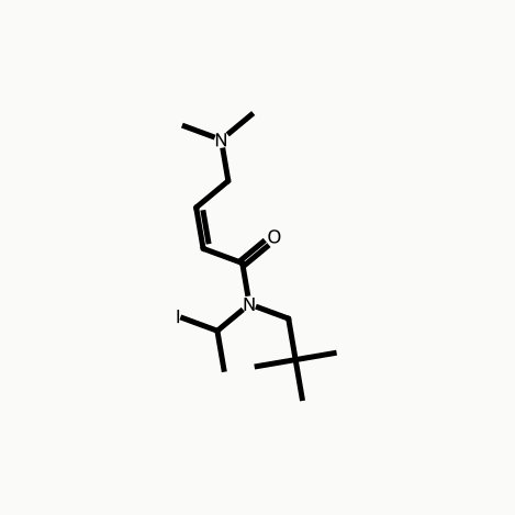 CC(I)N(CC(C)(C)C)C(=O)/C=C\CN(C)C